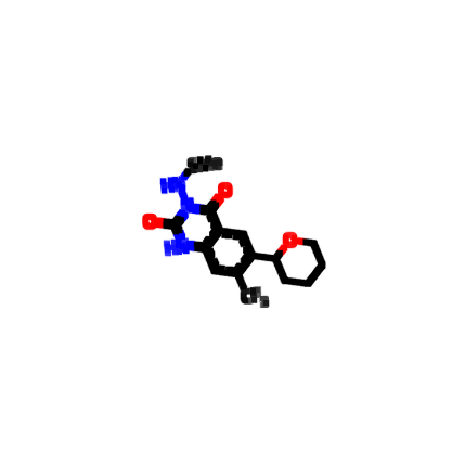 CSNn1c(=O)[nH]c2cc(C(F)(F)F)c(C3CCCCO3)cc2c1=O